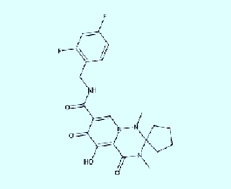 CN1C(=O)c2c(O)c(=O)c(C(=O)NCc3ccc(F)cc3F)cn2N(C)C12CCCC2